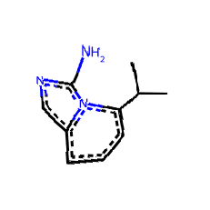 CC(C)c1cccc2cnc(N)n12